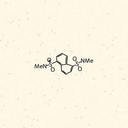 CNS(=O)(=O)c1cccc2c(S(=O)(=O)NC)cccc12